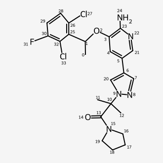 CC(Oc1cc(-c2cnn(C(C)(C)C(=O)N3CCCC3)c2)cnc1N)c1c(Cl)ccc(F)c1Cl